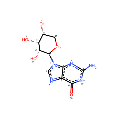 Nc1nc2c(ncn2[C@@H]2OC[C@@H](O)[C@@H](O)[C@H]2O)c(=O)[nH]1